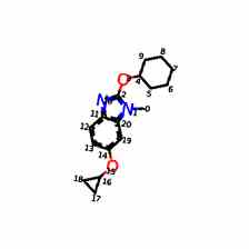 Cn1c(OC2CCCCC2)nc2ccc(OC3CC3)cc21